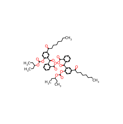 CCCCCCCC(=O)c1ccc(OC(=O)OC(CC)CC)c(C(=O)c2ccccc2C(=O)OOC(=O)c2ccccc2C(=O)c2cc(C(=O)CCCCCCC)ccc2OC(=O)OC(CC)CC)c1